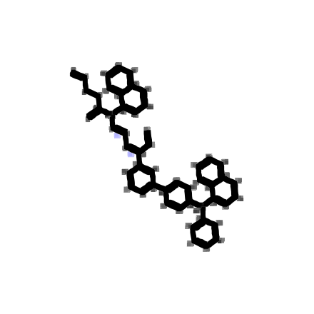 C=CCCC(=C)N(/C=C/C=C(\C=C)c1cccc(-c2ccc(N(c3ccccc3)c3cccc4ccccc34)cc2)c1)c1cccc2ccccc12